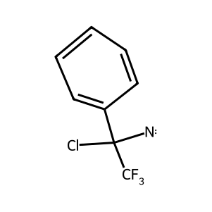 [N]C(Cl)(c1ccccc1)C(F)(F)F